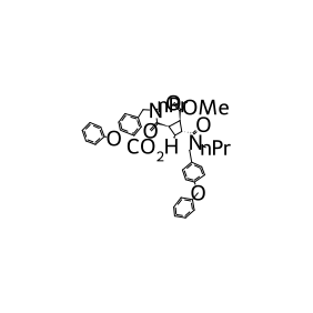 CCCN(Cc1ccc(Oc2ccccc2)cc1)C(=O)[C@@H]1[C@H](C(=O)O)[C@@H](C(=O)N(CCC)Cc2ccc(Oc3ccccc3)cc2)[C@@H]1C(=O)OC